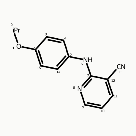 CC(C)Oc1ccc(Nc2ncccc2C#N)cc1